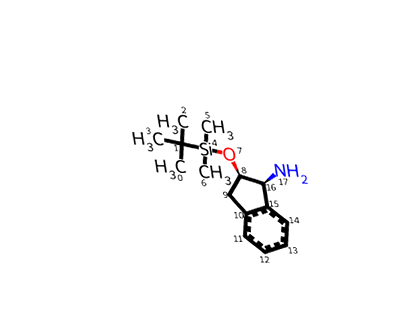 CC(C)(C)[Si](C)(C)O[C@@H]1Cc2ccccc2[C@@H]1N